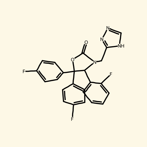 O=C1OC(c2ccc(F)cc2)(c2ccc(F)cc2)C(c2ccccc2F)N1Cc1nnc[nH]1